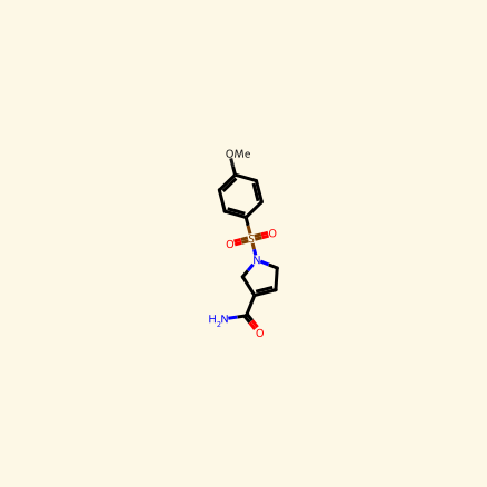 COc1ccc(S(=O)(=O)N2CC=C(C(N)=O)C2)cc1